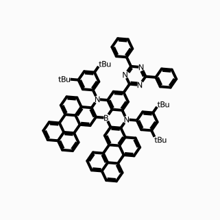 CC(C)(C)c1cc(N2c3cc(-c4nc(-c5ccccc5)nc(-c5ccccc5)n4)cc4c3B(c3cc5c6cccc7cccc(c8cccc(c32)c85)c76)c2cc3c5cccc6cccc(c7cccc(c2N4c2cc(C(C)(C)C)cc(C(C)(C)C)c2)c73)c65)cc(C(C)(C)C)c1